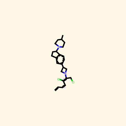 C=C/C=C\C(Cl)=C(/CCl)N1CC(c2ccc3c(c2)CCC3N2CCC(C)CC2)C1